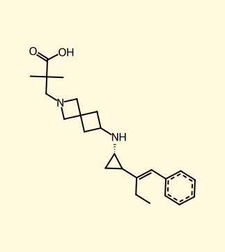 CCC(=Cc1ccccc1)C1C[C@@H]1NC1CC2(C1)CN(CC(C)(C)C(=O)O)C2